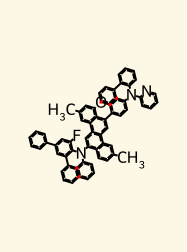 Cc1ccc2c(N(c3ccccc3)c3c(F)cc(-c4ccccc4)cc3-c3ccccc3)cc3c4cc(C)cc5c4c(cc3c2c1)-c1ccc(N(c2ccccn2)c2ccccc2-c2ccccc2)cc1O5